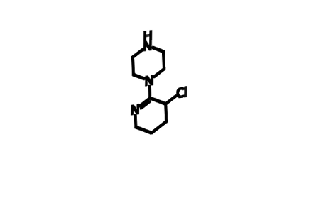 ClC1CCCN=C1N1CCNCC1